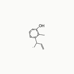 [CH2]C(C=C)c1cccc(O)c1C